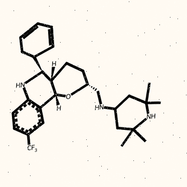 CC1(C)CC(NC[C@H]2CC[C@@H]3[C@H](O2)c2cc(C(F)(F)F)ccc2N[C@H]3C2C=CC=CC2)CC(C)(C)N1